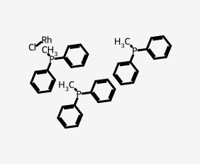 CP(c1ccccc1)c1ccccc1.CP(c1ccccc1)c1ccccc1.CP(c1ccccc1)c1ccccc1.[Cl][Rh]